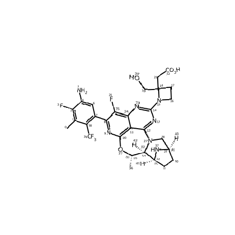 Cc1c(F)c(N)cc(-c2nc3c4c(nc(N5CCC5(CO)CC(=O)O)nc4c2F)N2C[C@H]4CC[C@H](N4)[C@H]2[C@H](C)O3)c1C(F)(F)F